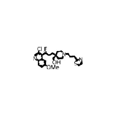 COc1ccc2ncc(Cl)c([C@@H](F)CCC3(CO)CCN(CCCc4nccs4)CC3)c2c1